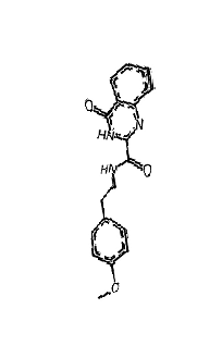 COc1ccc(CCNC(=O)c2nc3ccccc3c(=O)[nH]2)cc1